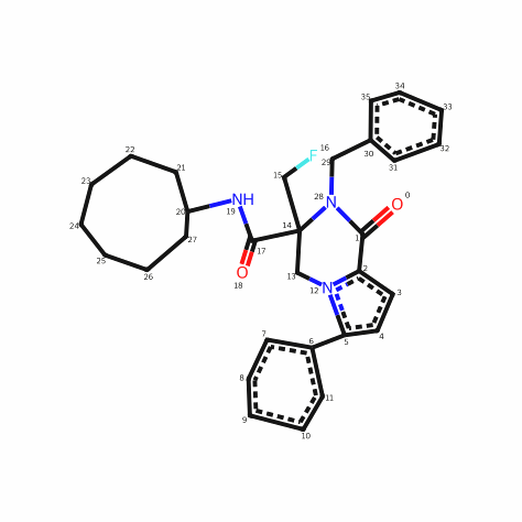 O=C1c2ccc(-c3ccccc3)n2CC(CF)(C(=O)NC2CCCCCCC2)N1Cc1ccccc1